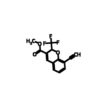 C#Cc1cccc2c1OC(C(F)(F)F)C(C(=O)OC)=C2